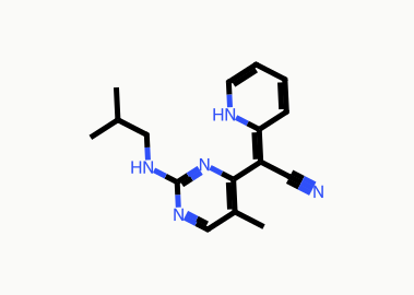 Cc1cnc(NCC(C)C)nc1C(C#N)=C1C=CC=CN1